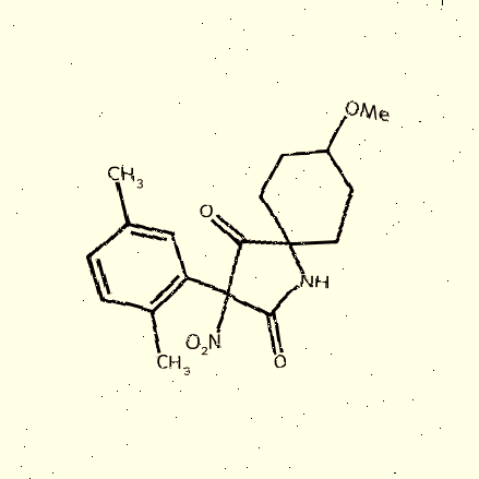 COC1CCC2(CC1)NC(=O)C(c1cc(C)ccc1C)([N+](=O)[O-])C2=O